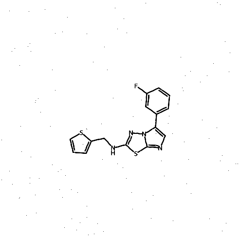 Fc1cccc(-c2cnc3sc(NCc4cccs4)nn23)c1